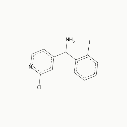 NC(c1ccnc(Cl)c1)c1ccccc1I